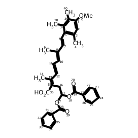 COc1cc(C)c(/C=C/C(C)=C/C=C/C(C)=C(\CC(OC(=O)c2ccccc2)OC(=O)c2ccccc2)C(=O)O)c(C)c1C